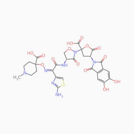 CN1CCC(O/N=C(\C(=O)N[C@H]2CON(C3(C(=O)O)C[C@H](N4C(=O)c5cc(O)c(O)cc5C4=O)C(=O)O3)C2=O)c2csc(N)n2)(C(=O)O)CC1